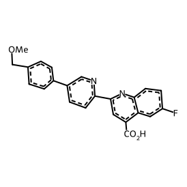 COCc1ccc(-c2ccc(-c3cc(C(=O)O)c4cc(F)ccc4n3)nc2)cc1